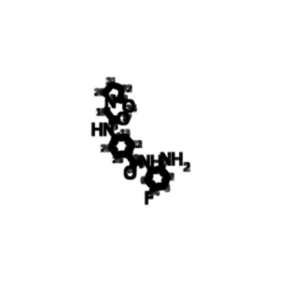 Nc1ccc(F)cc1NC(=O)c1ccc(NC(=O)CN2CCCC2=O)cc1